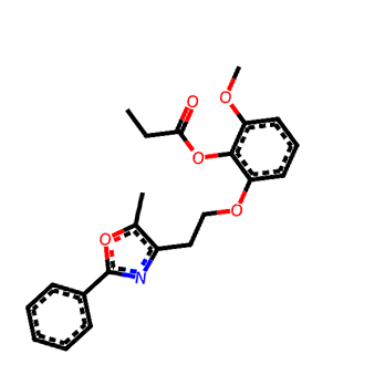 CCC(=O)Oc1c(OC)cccc1OCCc1nc(-c2ccccc2)oc1C